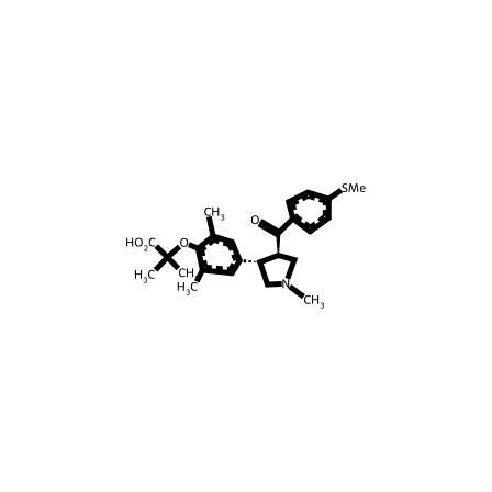 CSc1ccc(C(=O)[C@H]2CN(C)C[C@@H]2c2cc(C)c(OC(C)(C)C(=O)O)c(C)c2)cc1